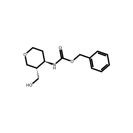 O=C(N[C@@H]1CCOC[C@H]1CO)OCc1ccccc1